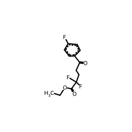 CCOC(=O)C(F)(F)CCC(=O)c1ccc(F)cc1